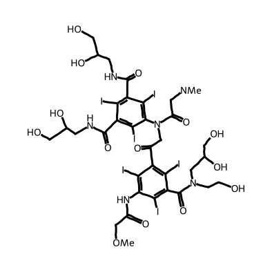 CNCC(=O)N(CC(=O)c1c(I)c(NC(=O)COC)c(I)c(C(=O)N(CCO)CC(O)CO)c1I)c1c(I)c(C(=O)NCC(O)CO)c(I)c(C(=O)NCC(O)CO)c1I